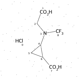 Cl.O=C(O)CN(C1CC1C(=O)O)C(F)(F)F